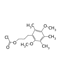 COc1c(C)c(C)c(OC)c(CCCOC(=O)Cl)c1C